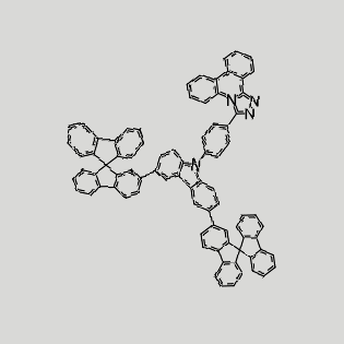 c1ccc2c(c1)-c1ccccc1C21c2ccccc2-c2ccc(-c3ccc4c(c3)c3cc(-c5ccc6c(c5)C5(c7ccccc7-c7ccccc75)c5ccccc5-6)ccc3n4-c3ccc(-c4nnc5c6ccccc6c6ccccc6n45)cc3)cc21